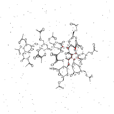 CC(=O)OC[C@H]1O[C@@H](S)[C@H](OC(C)=O)[C@@H](OC(C)=O)[C@@H]1O[C@@H]1O[C@H](COC(C)=O)[C@@H](O[C@@H]2O[C@H](COC(C)=O)[C@@H](O[C@@H]3O[C@H](COC(C)=O)[C@@H](O[C@@H]4O[C@H](COC(C)=O)[C@@H](O[C@@H]5O[C@H](COC(C)=O)[C@@H](O[C@@H]6O[C@H](COC(C)=O)[C@@H](OC(C)=O)[C@H](OC(C)=O)[C@H]6OC(C)=O)[C@H](OC(C)=O)[C@H]5OC(C)=O)[C@H](OC(C)=O)[C@H]4OC(C)=O)[C@H](OC(C)=O)[C@H]3OC(C)=O)[C@H](OC(C)=O)[C@H]2OC(C)=O)[C@H](OC(C)=O)[C@H]1OC(C)=O